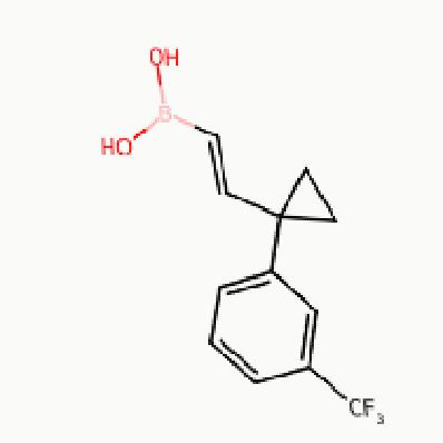 OB(O)C=CC1(c2cccc(C(F)(F)F)c2)CC1